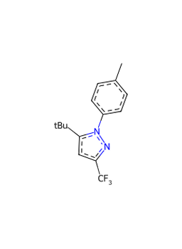 Cc1ccc(-n2nc(C(F)(F)F)cc2C(C)(C)C)cc1